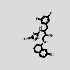 CCc1ccc2c(c1)C(NCC(O)C(Cc1cc(F)cc(F)c1)Nc1nnc(N)s1)CCC2